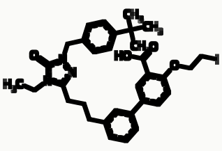 CCn1c(CCCc2cccc(-c3ccc(OCCI)c(C(=O)O)c3)c2)nn(Cc2ccc(C(C)(C)C)cc2)c1=O